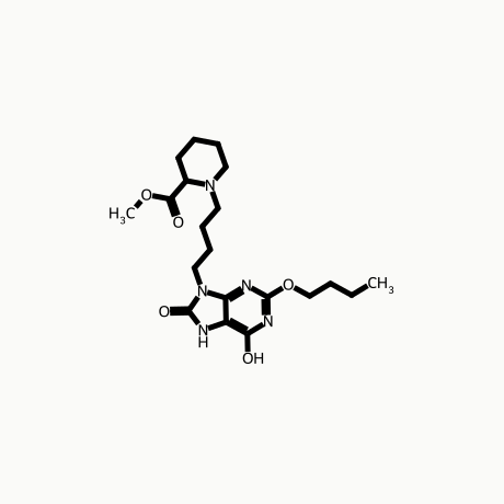 CCCCOc1nc(O)c2[nH]c(=O)n(CCCCN3CCCCC3C(=O)OC)c2n1